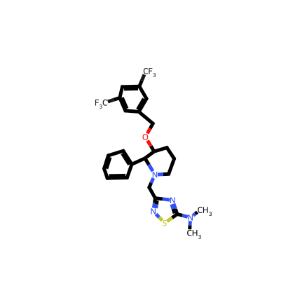 CN(C)c1nc(CN2CCCC(OCc3cc(C(F)(F)F)cc(C(F)(F)F)c3)C2c2ccccc2)ns1